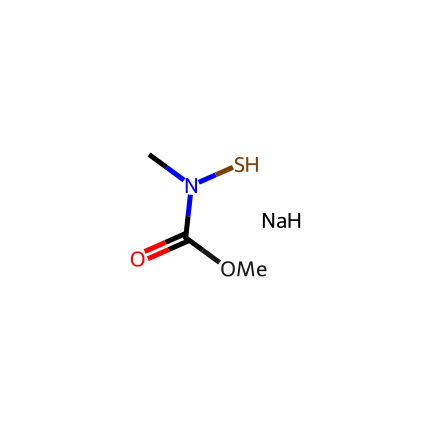 COC(=O)N(C)S.[NaH]